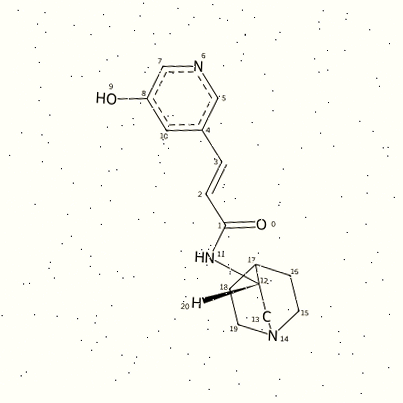 O=C(/C=C/c1cncc(O)c1)N[C@H]1CN2CCC1CC2